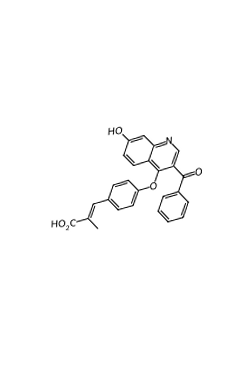 C/C(=C\c1ccc(Oc2c(C(=O)c3ccccc3)cnc3cc(O)ccc23)cc1)C(=O)O